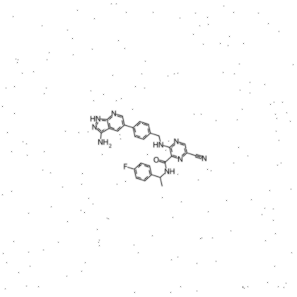 CC(NC(=O)c1nc(C#N)cnc1NCc1ccc(-c2cnc3[nH]nc(N)c3c2)cc1)c1ccc(F)cc1